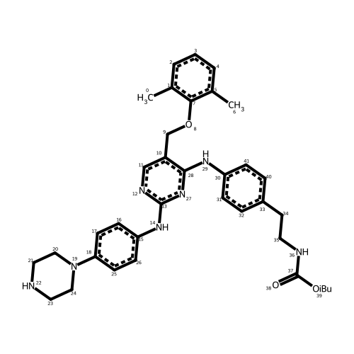 Cc1cccc(C)c1OCc1cnc(Nc2ccc(N3CCNCC3)cc2)nc1Nc1ccc(CCNC(=O)OCC(C)C)cc1